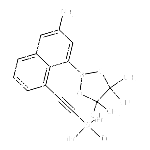 CC(C)[Si](C#Cc1cccc2cc(N)cc(B3OC(C)(C)C(C)(C)O3)c12)(C(C)C)C(C)C